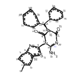 Cc1ccc2nc(N(C(=O)OCc3ccccc3)/C(N)=N\C(=O)OCc3ccccc3)sc2c1